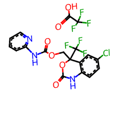 O=C(Nc1ccccn1)OCC1(C(F)(F)F)OC(=O)Nc2ccc(Cl)cc21.O=C(O)C(F)(F)F